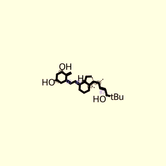 C=C1/C(=C\C=C2/CCC[C@]3(C)[C@@H]([C@H](C)/C=C/C(O)C(C)(C)C)CC[C@@H]23)C[C@@H](O)C[C@@H]1O